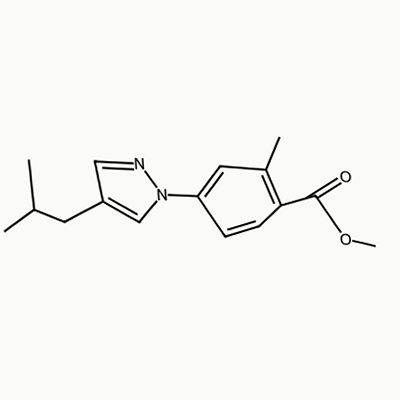 COC(=O)c1ccc(-n2cc(CC(C)C)cn2)cc1C